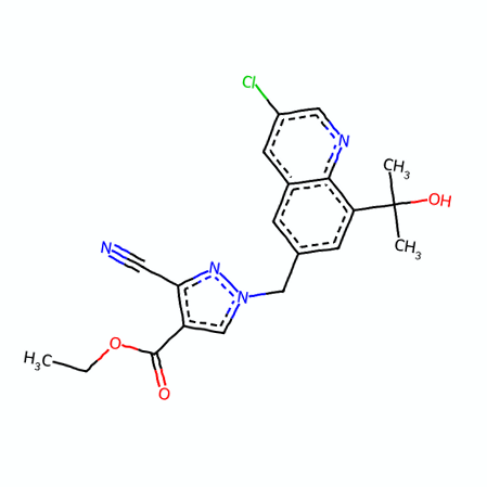 CCOC(=O)c1cn(Cc2cc(C(C)(C)O)c3ncc(Cl)cc3c2)nc1C#N